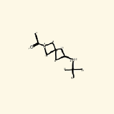 CC(=O)N1CC2(CC(NC(C)(C)C)C2)C1